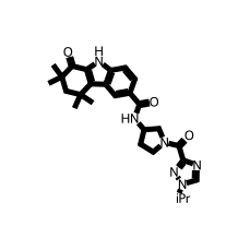 CC(C)n1cnc(C(=O)N2CCC(NC(=O)c3ccc4[nH]c5c(c4c3)C(C)(C)CC(C)(C)C5=O)C2)n1